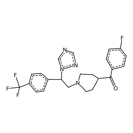 O=C(c1ccc(F)cc1)C1CCN(CC(c2ccc(C(F)(F)F)cc2)n2cncn2)CC1